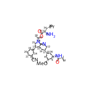 C=CC(=O)Nc1cc(OC)cc(-c2cnc3c(c2)c(-c2cccc(C#N)c2)cn3C(C)OC(=O)C(N)CC(C)C)c1